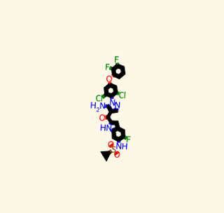 Nc1c(C(=O)c2cc3cc(F)c(NS(=O)(=O)C4CC4)cc3[nH]2)cnn1-c1c(Cl)cc(Oc2cccc(F)c2F)cc1Cl